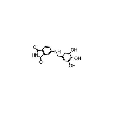 O=C1NC(=O)c2cc(NCc3cc(O)c(O)c(O)c3)ccc21